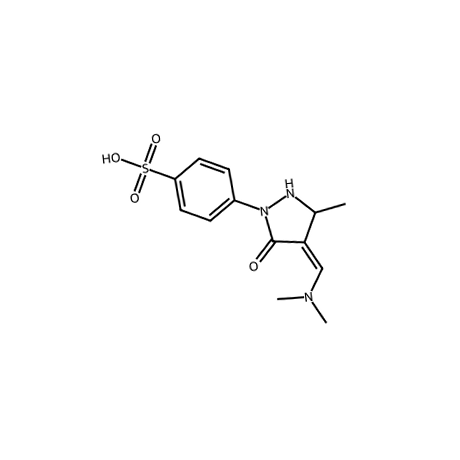 CC1NN(c2ccc(S(=O)(=O)O)cc2)C(=O)C1=CN(C)C